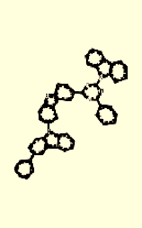 c1ccc(-c2ccc3c(c2)c2ccccc2n3-c2ccc3oc4ccc(-c5nc(-c6ccccc6)nc(-n6c7ccccc7c7ccccc76)n5)cc4c3c2)cc1